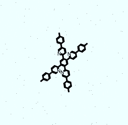 Cc1ccc(-c2ccc(-c3cc(-c4ccc(-c5ccc(C)cc5)cn4)c(-c4ccc(-c5ccc(C)cc5)cn4)cc3-c3ccc(-c4ccc(C)cc4)cn3)nc2)cc1